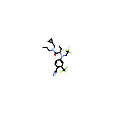 CCCN(CC1CC1)C(=O)C(CC)N(CC(F)(F)F)c1ccc(C#N)c(C(F)(F)F)c1